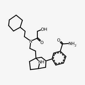 NC(=O)c1cccc(C2CC3CCC(CCN(CCC4CCCCC4)C(=O)CO)(C2)N3)c1